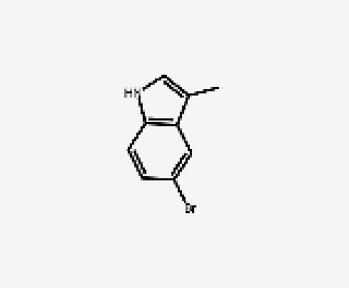 [CH2]c1c[nH]c2ccc(Br)cc12